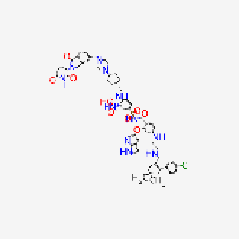 CC1(C)CCC(CNCCNc2ccc(C(=O)NS(=O)(=O)c3ccc(NC[C@H]4CC[C@@H](N5CCN(Cc6ccc7c(c6)CN(C6CCC(=O)NC6=O)C7=O)CC5)CC4)c([NH+]([O-])O)c3)c(Oc3cnc4[nH]ccc4c3)c2)=C(c2ccc(Cl)cc2)C1